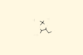 CC1(C)OC(C=O)C(CO)O1